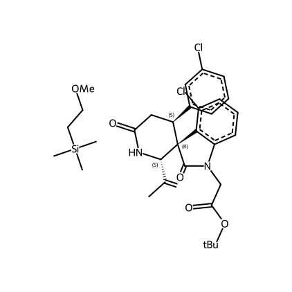 C=C(C)[C@@H]1NC(=O)C[C@@H](c2cccc(Cl)c2)[C@]12C(=O)N(CC(=O)OC(C)(C)C)c1cccc(Cl)c12.COCC[Si](C)(C)C